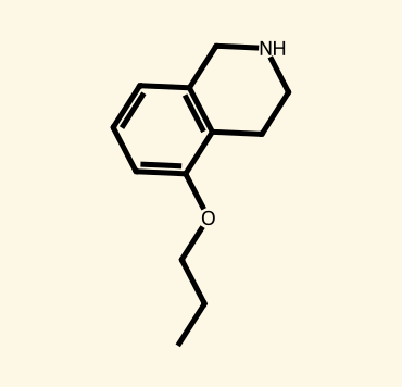 CCCOc1cccc2c1CCNC2